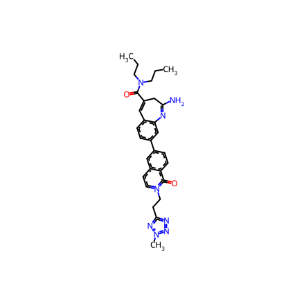 CCCN(CCC)C(=O)C1=Cc2ccc(-c3ccc4c(=O)n(CCc5nnn(C)n5)ccc4c3)cc2N=C(N)C1